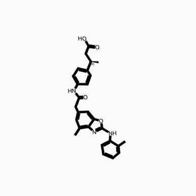 Cc1ccccc1Nc1nc2c(C)cc(CC(=O)Nc3ccc([C@H](C)CC(=O)O)cc3)cc2o1